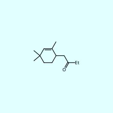 CCC(=O)CC1CCC(C)(C)C=C1C